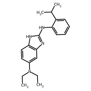 CCN(CC)c1ccc2[nH]c(Nc3ccccc3C(C)C)nc2c1